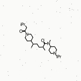 CC(C)CC(=O)N1CCC(C(C)CCC(C)C(=O)N(C)C2CCN(C(C)C)CC2)CC1